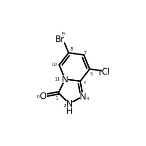 O=c1[nH]nc2c(Cl)cc(Br)cn12